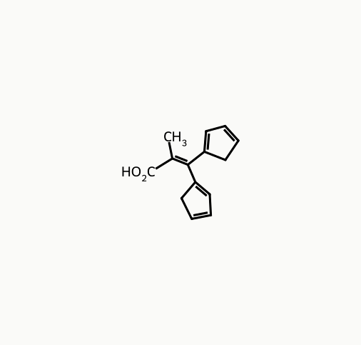 CC(C(=O)O)=C(C1=CC=CC1)C1=CC=CC1